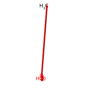 CCCCCCCCCCCCCCCCCCCCCCCCCCCCCCCCCCCCCCCCCCCCCCCCCCCCCCCCCCCCCCCCCCCCCCCCCCCCCCCCCCCCCCCCCCCCCCCCCCCCOc1ccc(C(=O)c2ccccc2)c(O)c1